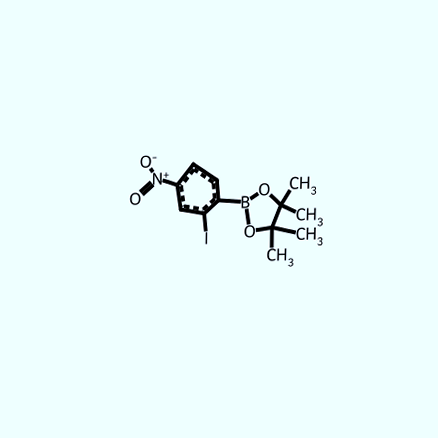 CC1(C)OB(c2ccc([N+](=O)[O-])cc2I)OC1(C)C